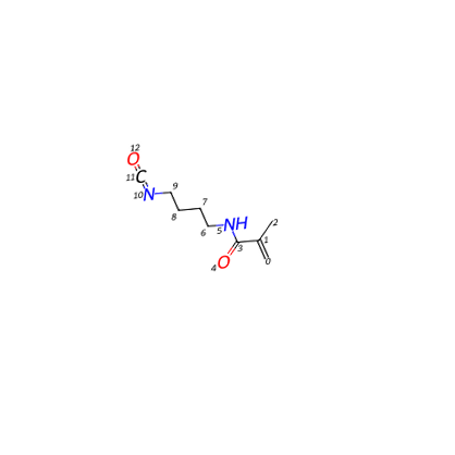 C=C(C)C(=O)NCCCCN=C=O